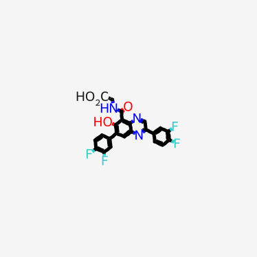 O=C(O)CNC(=O)c1c(O)c(-c2ccc(F)c(F)c2)cc2nc(-c3ccc(F)c(F)c3)cnc12